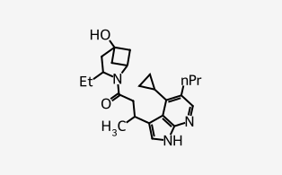 CCCc1cnc2[nH]cc(C(C)CC(=O)N3C(CC)CC4(O)CC3C4)c2c1C1CC1